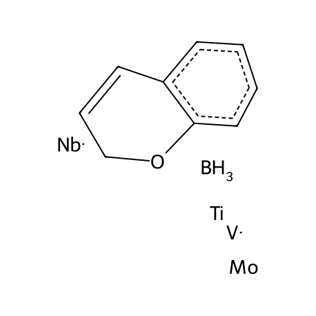 B.C1=Cc2ccccc2OC1.[Mo].[Nb].[Ti].[V]